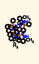 Cc1cccc(C)c1N/C(=N/c1cc(/N=C(/Nc2c(C)cccc2C)P(c2ccccc2)c2ccccc2)c(/N=C(\Nc2c(C)cccc2C)P(c2ccccc2)c2ccccc2)cc1/N=C(/Nc1c(C)cccc1C)P(c1ccccc1)c1ccccc1)P(c1ccccc1)c1ccccc1